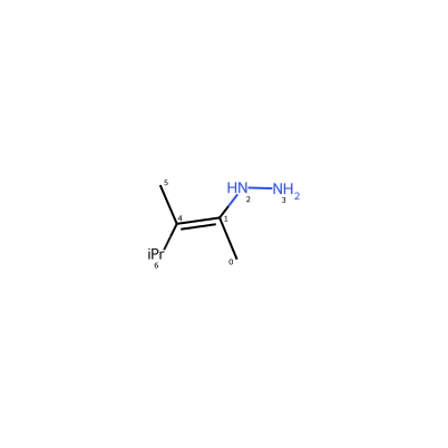 C/C(NN)=C(/C)C(C)C